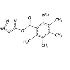 CCCCc1c(C)c(C)c(C)c(C)c1C(=O)Oc1c[nH]nn1